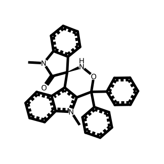 CN1C(=O)[C@]2(NOC(c3ccccc3)(c3ccccc3)c3c2c2ccccc2n3C)c2ccccc21